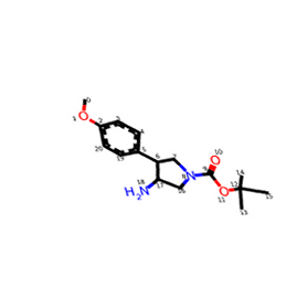 COc1ccc(C2CN(C(=O)OC(C)(C)C)CC2N)cc1